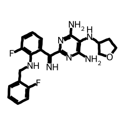 N=C(c1nc(N)c(NC2CCOC2)c(N)n1)c1cccc(F)c1NCc1ccccc1F